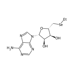 CC[Se]C[C@H]1O[C@@H](n2cnc3c(N)ncnc32)[C@H](O)[C@@H]1O